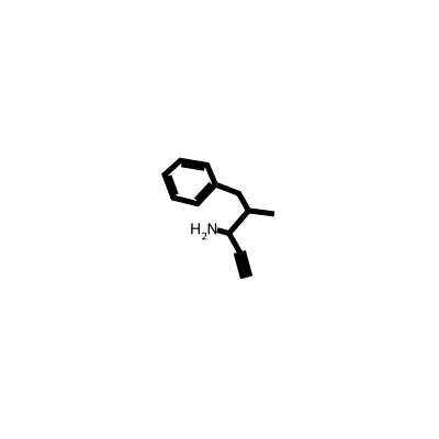 C#CC(N)C(C)Cc1ccccc1